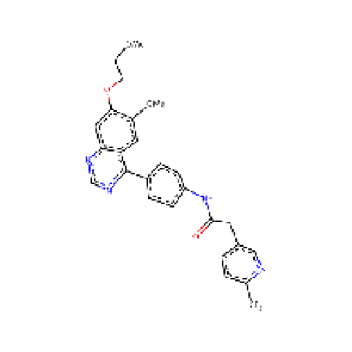 COCCOc1cc2ncnc(-c3ccc(NC(=O)Cc4ccc(C(F)(F)F)nc4)cc3)c2cc1OC